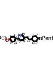 CCCCCCCCOc1ccc(-c2ccc(CCC3CCC(CCCCC)CC3)cn2)cc1